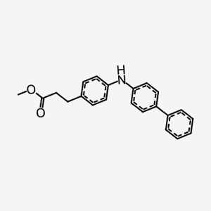 COC(=O)CCc1ccc(Nc2ccc(-c3ccccc3)cc2)cc1